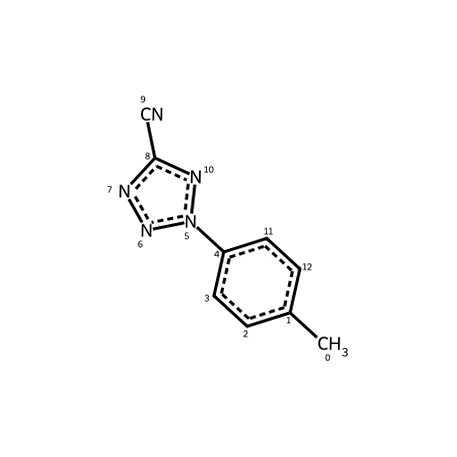 Cc1ccc(-n2nnc(C#N)n2)cc1